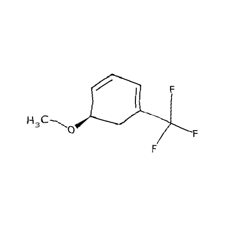 CO[C@H]1C=CC=C(C(F)(F)F)C1